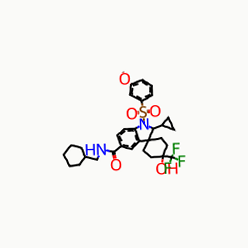 COc1cccc(S(=O)(=O)N2c3ccc(C(=O)NCC4CCCCC4)cc3C3(CCC(O)(C(F)(F)F)CC3)C2C2CC2)c1